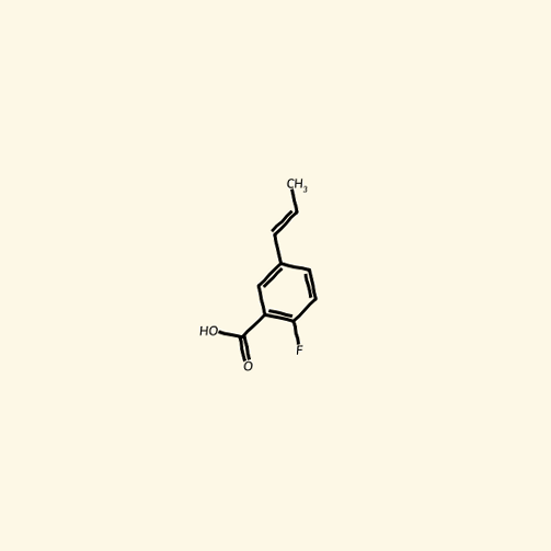 CC=Cc1ccc(F)c(C(=O)O)c1